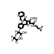 COc1c(C(=O)NCCN(C)C)sc2c1c(=O)n(Cc1ccccn1)c1ccccc21.O=C(O)C(F)(F)F.O=C(O)C(F)(F)F